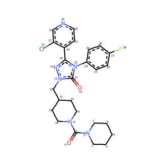 O=C(N1CCCCC1)N1CCC(Cn2nc(-c3ccncc3Cl)n(-c3ccc(F)cc3)c2=O)CC1